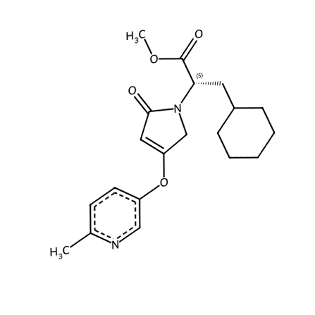 COC(=O)[C@H](CC1CCCCC1)N1CC(Oc2ccc(C)nc2)=CC1=O